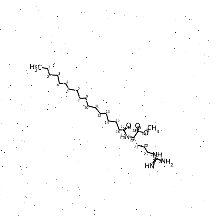 CCCCCCCCCCCCCCCCCC(=O)N[C@@H](CCCNC(=N)N)C(=O)OC